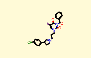 O=C(c1ccccc1)n1c(=O)c(I)cn(CCCN2CCC(c3ccc(Cl)cc3)C2)c1=O